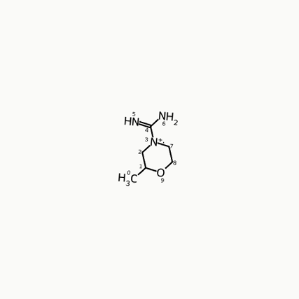 CC1C[N+](C(=N)N)CCO1